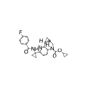 O=C(NC1(c2ccc3c(n2)[C@H]2C[C@@H]2CN3C(=O)OC2CC2)CC1)c1ccc(F)cc1